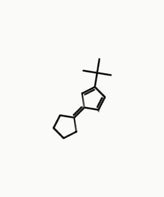 CC(C)(C)C1=CC(=C2CCCC2)[C]=C1